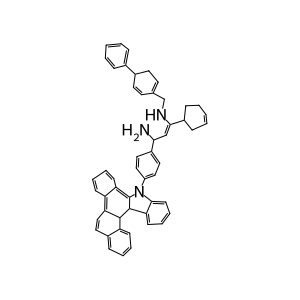 NC(/C=C(\NCC1=CCC(c2ccccc2)C=C1)C1CC=CCC1)c1ccc(N2C3=c4ccccc4=C4C=Cc5ccccc5C4C3c3ccccc32)cc1